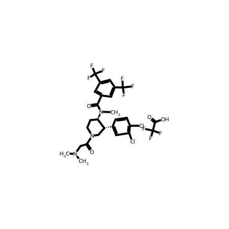 CN(C)CC(=O)N1CC[C@@H](N(C)C(=O)c2cc(C(F)(F)F)cc(C(F)(F)F)c2)[C@H](c2ccc(Cl)c(Cl)c2)C1.O=C(O)C(F)(F)F